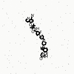 CC1(C)C(NC(=O)c2ccc(N3CCC(CN4CCC(n5ncc6c(N7CCC(=O)NC7=O)c(F)ccc65)CC4)CC3)c(F)c2)C(C)(C)C1Oc1ccc(C#N)c2ncccc12